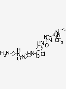 Cn1c(-c2cn(CC3CC3)nc2C(F)(F)F)cnc1C(=O)Nc1ccc(C(=O)NCC2CN(C(=O)NC3CC(N)C3)C2)c(Cl)c1